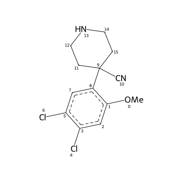 COc1cc(Cl)c(Cl)cc1C1(C#N)CCNCC1